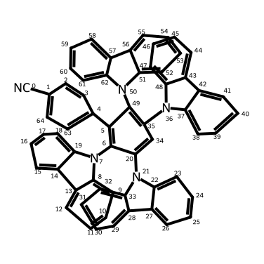 N#Cc1ccc(-c2c(-n3c4ccccc4c4ccccc43)c(-n3c4ccccc4c4ccccc43)cc(-n3c4ccccc4c4ccccc43)c2-n2c3ccccc3c3ccccc32)cc1